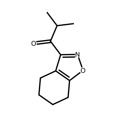 CC(C)C(=O)c1noc2c1CCCC2